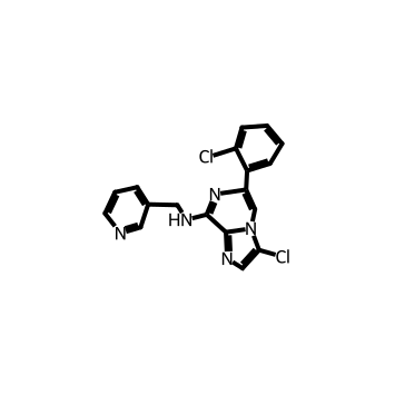 Clc1ccccc1-c1cn2c(Cl)cnc2c(NCc2cccnc2)n1